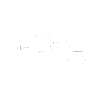 Clc1ccc([CH]C2CCCC2)cc1